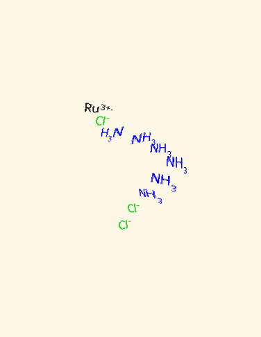 N.N.N.N.N.N.[Cl-].[Cl-].[Cl-].[Ru+3]